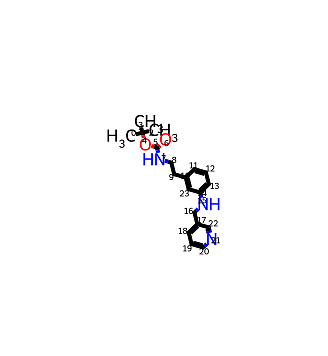 CC(C)(C)OC(=O)NCCc1cccc(NCc2cccnc2)c1